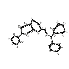 C(=NC(c1ccccc1)c1ccccc1)c1ccc2ccc(-c3ccccc3)nc2c1